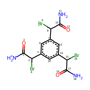 NC(=O)C(Br)c1cc(C(Br)C(N)=O)cc(C(Br)C(N)=O)c1